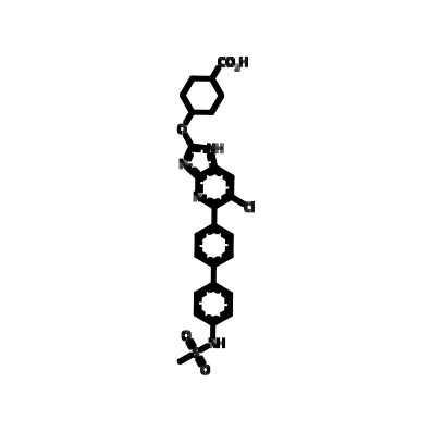 CS(=O)(=O)Nc1ccc(-c2ccc(-c3nc4nc(OC5CCC(C(=O)O)CC5)[nH]c4cc3Cl)cc2)cc1